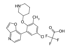 Cc1cc(Cl)cc(-c2ccnc3ccoc23)c1OC1CCCNC1.O=C(O)C(F)(F)F